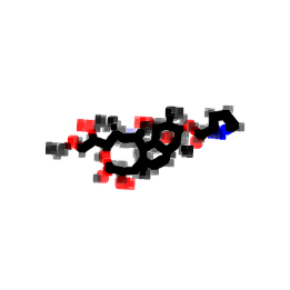 COCC(O)C1OC(=O)[C@H](O)C[C@H]2C=CC3C4[C@H](O)[C@@H](C)[C@@H](OC(=O)c5ccc[nH]5)[C@@H]3O[C@]42/C(C)=C/[C@H]1C